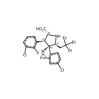 CCC(CC)(CC)C[C@@H]1N[C@@H](C(=O)O)[C@H](c2cccc(Cl)c2F)[C@@]1(N)c1ccc(Cl)cc1F